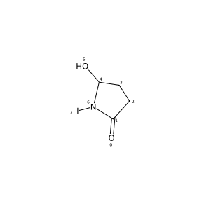 O=C1CCC(O)N1I